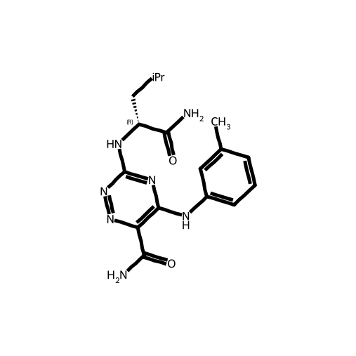 Cc1cccc(Nc2nc(N[C@H](CC(C)C)C(N)=O)nnc2C(N)=O)c1